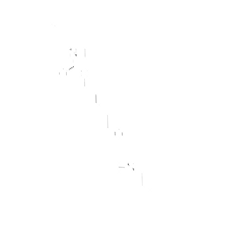 CCCNCCOCCOCCOC(=O)NCCC